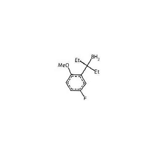 BC(CC)(CC)c1cc(F)ccc1OC